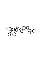 CO/C=C(/C(=O)O)c1ccccc1CO/N=C(/C)c1noc2cc(OCC=C(Cl)Cl)ccc12